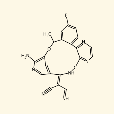 CC1Oc2cc(cnc2N)/C(=C(\C#N)C=N)NCc2nccnc2-c2ccc(F)cc21